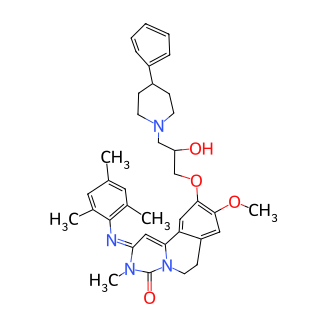 COc1cc2c(cc1OCC(O)CN1CCC(c3ccccc3)CC1)-c1cc(=Nc3c(C)cc(C)cc3C)n(C)c(=O)n1CC2